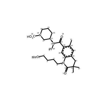 COCCCCN1C(=O)C(C)(C)Cc2cc(C)c(C(=O)N(C(C)C)[C@@H]3CCCN(C(=O)O)C3)cc21